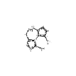 CCc1nnc(S)n1-n1c(C)ccc1C